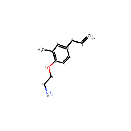 C=CCc1ccc(OCCN)c(C)c1